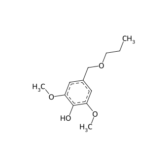 CCCOCc1cc(OC)c(O)c(OC)c1